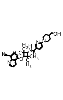 CC1(C)C(NC(=O)c2ccc(N3CCC(CO)CC3)nc2)C(C)(C)C1Oc1ccc(C#N)c2ncccc12